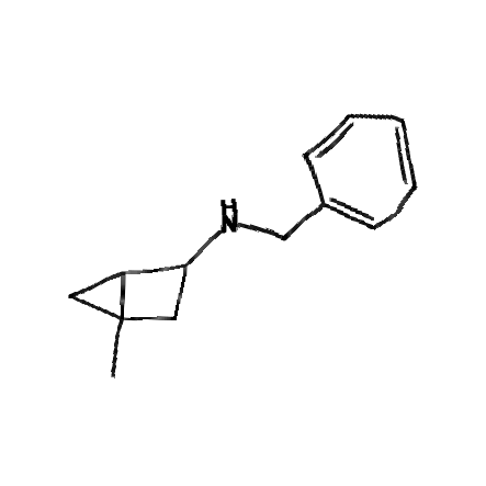 CC12CC(NCc3ccccc3)C1C2